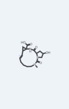 CN1CCCC/C=C/C2CC2(C(=O)O)NC(=O)C2CC(O)CN2C1=O